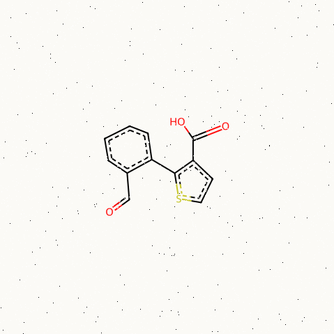 O=Cc1ccccc1-c1sccc1C(=O)O